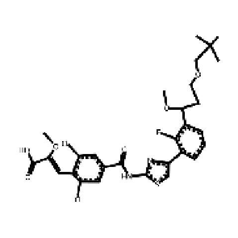 COC(=Cc1c(Cl)cc(C(=O)Nc2nc(-c3cccc(C(CCOCC(C)(C)C)OC)c3F)cs2)cc1Cl)C(=O)O